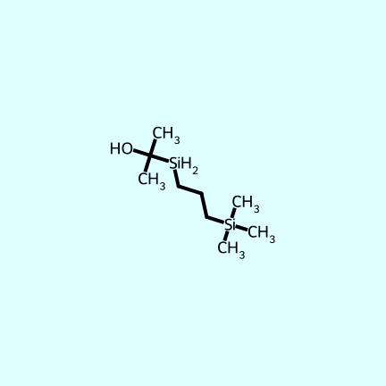 CC(C)(O)[SiH2]CCC[Si](C)(C)C